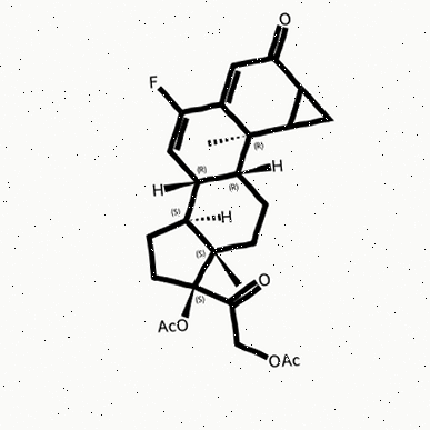 CC(=O)OCC(=O)[C@]1(OC(C)=O)CC[C@H]2[C@@H]3C=C(F)C4=CC(=O)C5CC5[C@@]4(C)[C@@H]3CC[C@@]21C